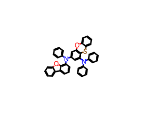 c1ccc(N(c2ccccc2)c2cc(N(c3ccccc3)c3cccc4c3oc3ccccc34)cc3c2Sc2ccccc2O3)cc1